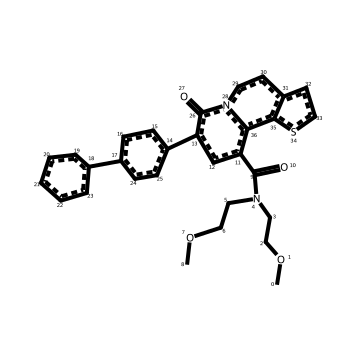 COCCN(CCOC)C(=O)c1cc(-c2ccc(-c3ccccc3)cc2)c(=O)n2ccc3ccsc3c12